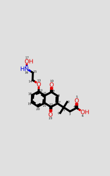 CC(C)(CC(=O)O)C1=CC(=O)c2c(OCCNO)cccc2C1=O